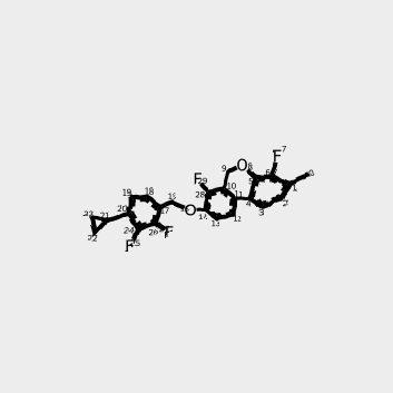 Cc1ccc2c(c1F)OCc1c-2ccc(OCc2ccc(C3CC3)c(F)c2F)c1F